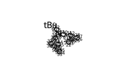 CC(C)(C)c1ccc(N(c2ccc(-c3ccc4c(c3)C(C)(c3ccccc3)c3ccccc3-4)cc2)c2ccc(-c3ccccc3-c3cccc4c3C(C)(C)c3ccccc3-4)cc2)cc1